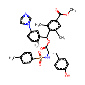 COC(=O)c1cc(C)c(C(OC(=O)[C@H](Cc2ccc(O)cc2)NS(=O)(=O)c2ccc(C)cc2)c2cc(-n3ccnc3)ccc2C)c(C)c1